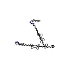 CCCCC/C=C\C/C=C\CCCCCCCCOC(=O)COCC(=O)OCCCC(CCCOC(=O)COCC(=O)OCCCCCCCC/C=C\C/C=C\CCCCC)OC(=O)CCCN1CCCC1